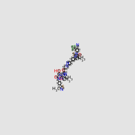 Cc1ncsc1-c1ccc(CNC(=O)C2CC(O)CN2C(=O)C(C(C)C)n2cc(OC3CCN(c4ccc(-c5ccc(N6C(=S)N(c7ccc(C#N)c(C(F)(F)F)c7)C(=O)C6(C)C)cc5)cn4)CC3)cn2)cc1